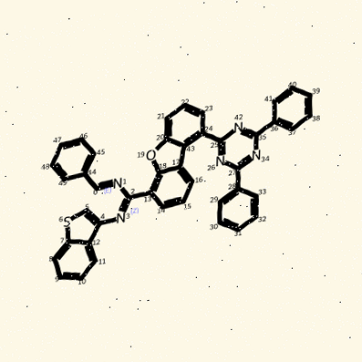 C(=N\C(=N/c1csc2ccccc12)c1cccc2c1oc1cccc(-c3nc(-c4ccccc4)nc(-c4ccccc4)n3)c12)/c1ccccc1